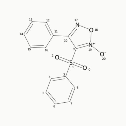 O=S(=O)(c1ccccc1)c1c(-c2ccccc2)no[n+]1[O-]